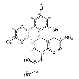 CCC[C@H](C(N)=O)N1C(=O)[C@@H](C[C@H](O)CO)O[C@H](c2cccc(Cl)c2)[C@@H]1c1ccc(Cl)cc1